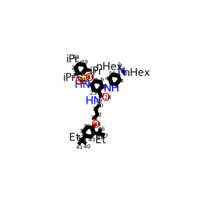 CCCCCCN(CCCCCC)c1ccc(Nc2ccc(NS(=O)(=O)c3c(C(C)C)cc(C(C)C)cc3C(C)C)cc2C(=O)NCCCCOc2ccc(C(C)(C)CC)cc2C(C)(C)CC)cc1